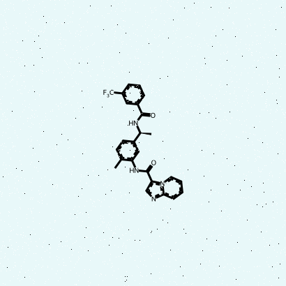 Cc1ccc([C@H](C)NC(=O)c2cccc(C(F)(F)F)c2)cc1NC(=O)c1cnc2ccccn12